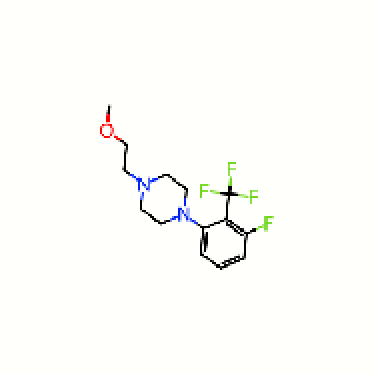 COCCN1CCN(c2cccc(F)c2C(F)(F)F)CC1